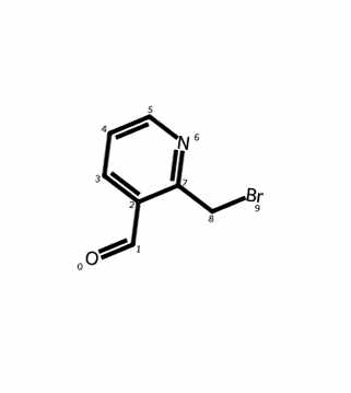 O=Cc1cccnc1CBr